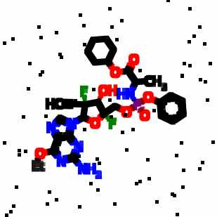 C#C[C@]1(F)C(n2cnc3c(OCC)nc(N)nc32)O[C@](F)(CO[P@@](=O)(NC(C)C(=O)OC2CCCCC2)Oc2ccccc2)[C@H]1O